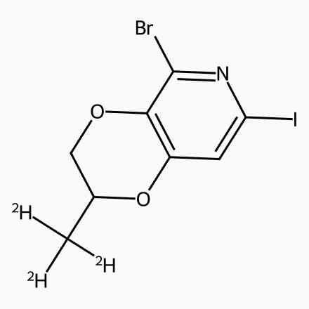 [2H]C([2H])([2H])C1COc2c(cc(I)nc2Br)O1